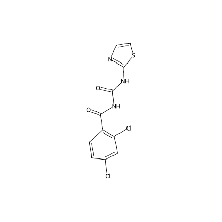 O=C(NC(=O)c1ccc(Cl)cc1Cl)Nc1nccs1